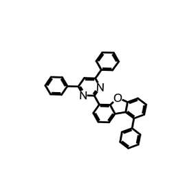 c1ccc(-c2cc(-c3ccccc3)nc(-c3cccc4c3oc3cccc(-c5ccccc5)c34)n2)cc1